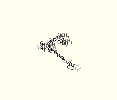 CC(C)OC(O)N(C)CCN(C)C(=O)OCc1ccc(NC(=O)[C@H](CCCNC(N)=O)NC(=O)[C@H](NC(=O)CCOCCOCCOCCOCCN2C(=O)CC(C(C)C)C2=O)C(C)C)cc1